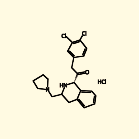 Cl.O=C(Cc1ccc(Cl)c(Cl)c1)[C@H]1NC(CN2CCCC2)Cc2ccccc21